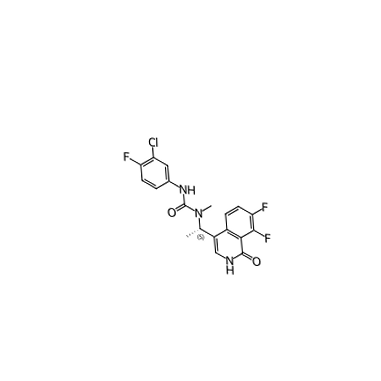 C[C@@H](c1c[nH]c(=O)c2c(F)c(F)ccc12)N(C)C(=O)Nc1ccc(F)c(Cl)c1